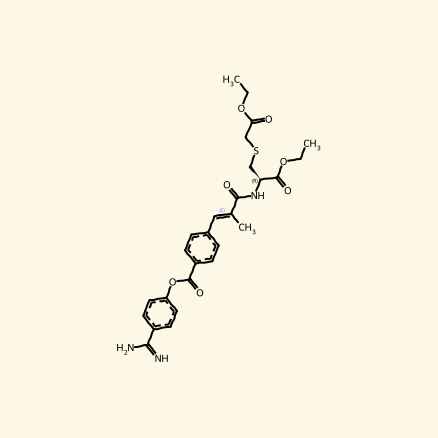 CCOC(=O)CSC[C@H](NC(=O)/C(C)=C/c1ccc(C(=O)Oc2ccc(C(=N)N)cc2)cc1)C(=O)OCC